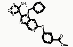 COC(=O)c1cccc(Oc2cc3c(cn2)nc(-c2nonc2N)n3Cc2ccccc2)c1